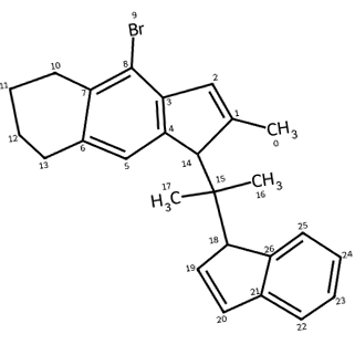 CC1=Cc2c(cc3c(c2Br)CCCC3)C1C(C)(C)C1C=Cc2ccccc21